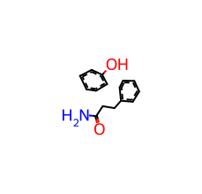 NC(=O)CCc1ccccc1.Oc1ccccc1